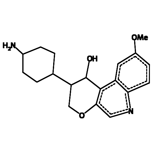 COc1ccc2ncc3c(c2c1)C(O)C(C1CCC(N)CC1)CO3